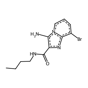 CCCCNC(=O)c1nc2c(Br)cccn2c1N